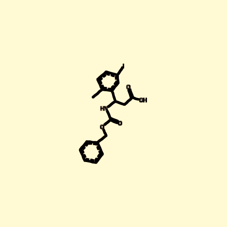 Cc1ccc(I)cc1C(CC(=O)O)NC(=O)OCc1ccccc1